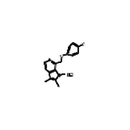 Cc1c(C)n(C)c2c(COc3ccc(Cl)cc3)nccc12.Cl